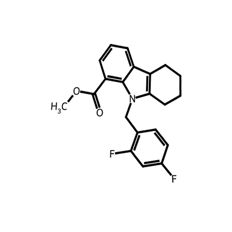 COC(=O)c1cccc2c3c(n(Cc4ccc(F)cc4F)c12)CCCC3